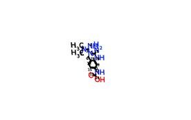 CN(C)C(=N)N(Cc1ccc(NC(=O)O)cc1)C(=N)N